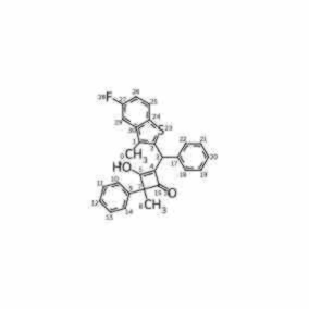 Cc1c(C(C2=C(O)C(C)(c3ccccc3)C2=O)c2ccccc2)sc2ccc(F)cc12